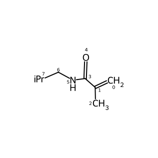 C=C(C)C(=O)NCC(C)C